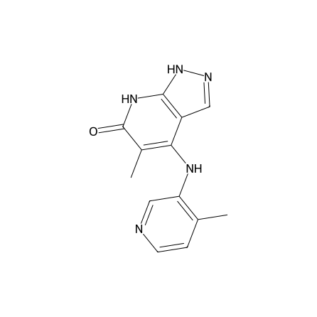 Cc1ccncc1Nc1c(C)c(=O)[nH]c2[nH]ncc12